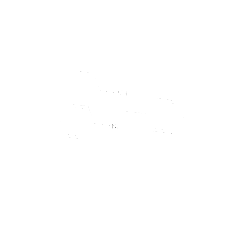 C1=C2NC(c3ccccc3)Nc3cccc(c32)CC1